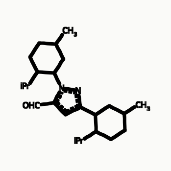 CC1CCC(C(C)C)C(c2cc(C=O)n(C3CC(C)CCC3C(C)C)n2)C1